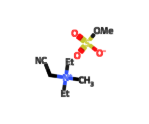 CC[N+](C)(CC)CC#N.COS(=O)(=O)[O-]